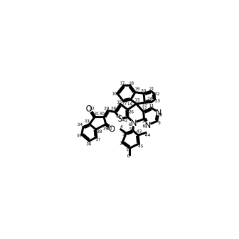 Cc1cc(C)c(N2c3ncncc3C3(c4ccccc4-c4ccccc43)c3cc(C=C4C(=O)c5ccccc5C4=O)sc32)c(C)c1